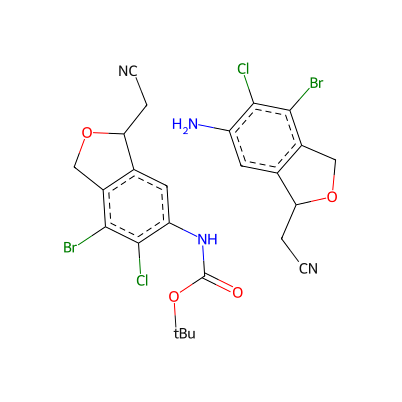 CC(C)(C)OC(=O)Nc1cc2c(c(Br)c1Cl)COC2CC#N.N#CCC1OCc2c1cc(N)c(Cl)c2Br